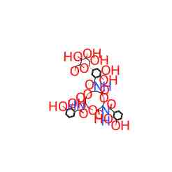 COCC1O[C@@H](c2cc(O)c(O)c(C(=O)N[C@H]3COC(=O)[C@@H](NC(=O)c4cccc(O)c4O)COC(=O)[C@@H](NC(=O)c4cccc(O)c4O)COC3=O)c2)C(O)C(O)[C@@H]1O